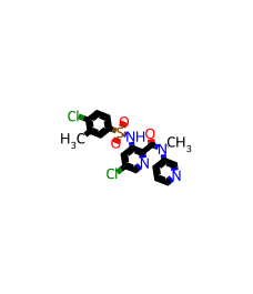 Cc1cc(S(=O)(=O)Nc2cc(Cl)cnc2C(=O)N(C)c2cccnc2)ccc1Cl